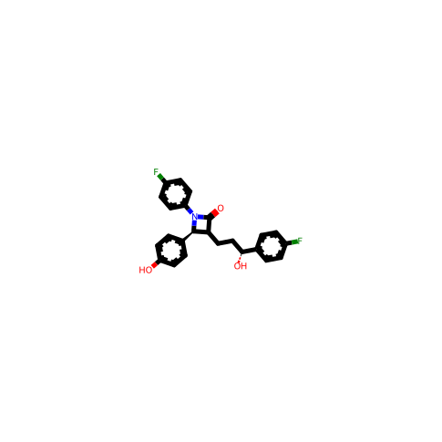 O=C1C(CC[C@@H](O)c2ccc(F)cc2)[C@@H](c2ccc(O)cc2)N1c1ccc(F)cc1